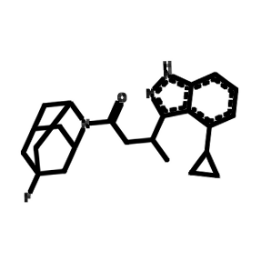 CC(CC(=O)N1C2CC3CC1CC(F)(C3)C2)c1n[nH]c2cccc(C3CC3)c12